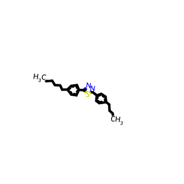 CCCCCCc1ccc(-c2nnc(-c3ccc(CCCC)cc3)s2)cc1